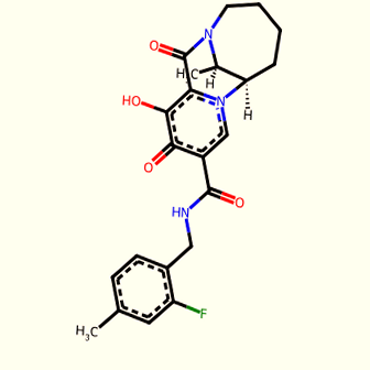 Cc1ccc(CNC(=O)c2cn3c(c(O)c2=O)C(=O)N2CCCC[C@@H]3[C@H]2C)c(F)c1